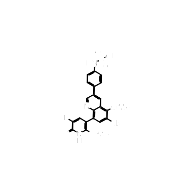 COc1[nH]c(=O)c(F)cc1-c1cc(C(C)(C)C)c(OC)c2cc(-c3ccc(NS(C)(=O)=O)cc3)cnc12